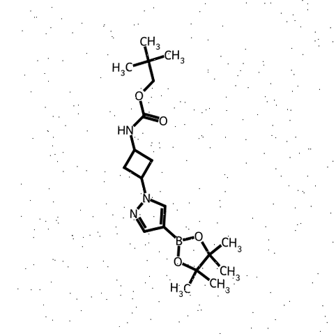 CC(C)(C)COC(=O)NC1CC(n2cc(B3OC(C)(C)C(C)(C)O3)cn2)C1